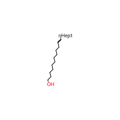 CCCCCCCC=CCCCCCCCCCCO